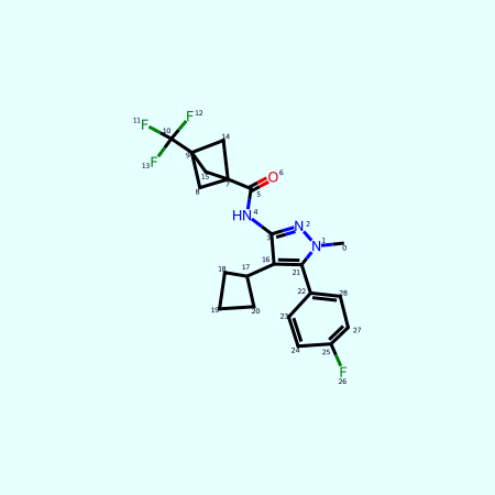 Cn1nc(NC(=O)C23CC(C(F)(F)F)(C2)C3)c(C2CCC2)c1-c1ccc(F)cc1